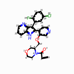 C=CC(=O)N1CCOC[C@H]1COc1cnccc1-c1[nH]c2cccnc2c1-c1cc(Cl)ccc1F